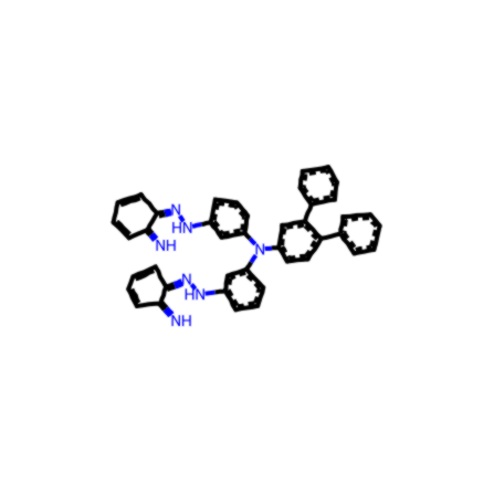 N=C1C=CC=C/C1=N/Nc1cccc(N(c2cccc(N/N=C3/C=CC=CC3=N)c2)c2ccc(-c3ccccc3)c(-c3ccccc3)c2)c1